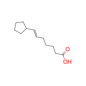 O=C(O)CCCCC=CC1CCCC1